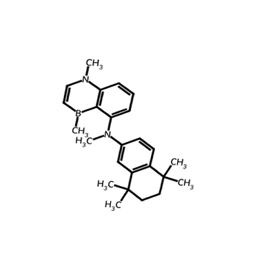 CB1C=CN(C)c2cccc(N(C)c3ccc4c(c3)C(C)(C)CCC4(C)C)c21